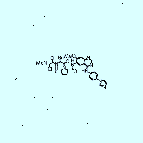 CN[C@@H](C)C(=O)N[C@H](C(=O)N1CCC[C@H]1C(=O)Nc1cc2c(Nc3ccc(-n4ccnc4)cc3)ncnc2cc1OC)C(C)(C)C